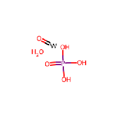 O.O=P(O)(O)O.[O]=[W]